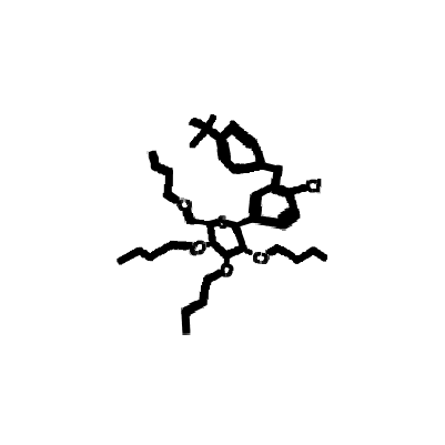 CCCCOC[C@H]1S[C@@H](c2ccc(Cl)c(Cc3ccc(C(C)(C)C)cc3)c2)[C@H](OCCCC)[C@@H](OCCCC)[C@@H]1OCCCC